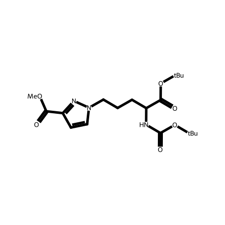 COC(=O)c1ccn(CCCC(NC(=O)OC(C)(C)C)C(=O)OC(C)(C)C)n1